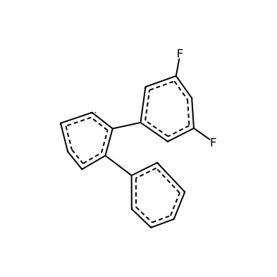 Fc1cc(F)cc(-c2[c]cccc2-c2ccccc2)c1